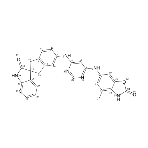 Cc1cc(Nc2cc(Nc3ccc4c(c3)CC3(C4)C(=O)Nc4ncccc43)ncn2)cc2oc(=O)[nH]c12